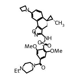 CCN1CCN(C(=O)c2cc(OC)c(S(=O)(=O)Nc3noc4c3C[C@@]3(C[C@@H]3C)c3ccc(N5CCC5)cc3-4)c(OC)c2)CC1